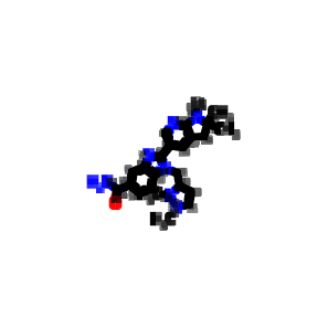 CCN1c2ncc(-c3nc4cc(C(N)=O)ccc4n3CC3C=CN(C)N3C)cc2CC1(C)C